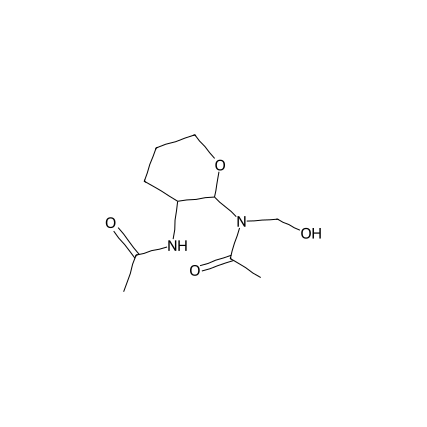 CC(=O)NC1CCCOC1N(CO)C(C)=O